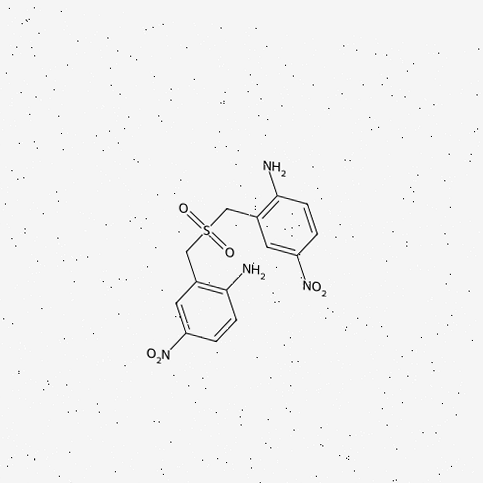 Nc1ccc([N+](=O)[O-])cc1CS(=O)(=O)Cc1cc([N+](=O)[O-])ccc1N